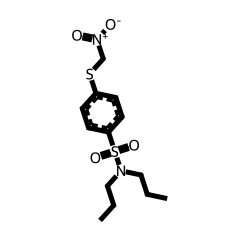 CCCN(CCC)S(=O)(=O)c1ccc(SC[N+](=O)[O-])cc1